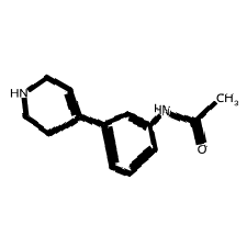 CC(=O)Nc1cccc(C2=CCNCC2)c1